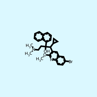 COc1nc2ccc(Br)cc2cc1C(C1CC1)C(O)(CCN(C)C)c1cccc2ccccc12